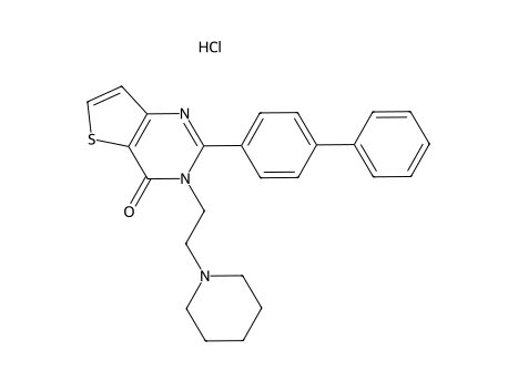 Cl.O=c1c2sccc2nc(-c2ccc(-c3ccccc3)cc2)n1CCN1CCCCC1